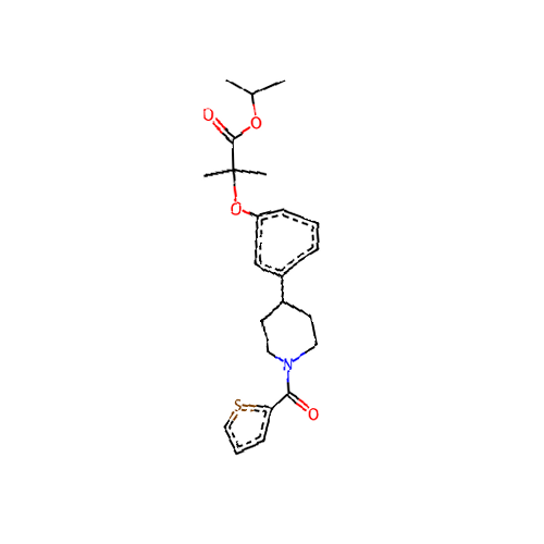 CC(C)OC(=O)C(C)(C)Oc1cccc(C2CCN(C(=O)c3cccs3)CC2)c1